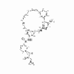 C=CC(=O)Nc1cccc(C(=O)Nc2cc3cc(c2)Nc2ncc(C(F)(F)F)c(n2)-c2cccc(c2)OCC/C=C/COC3)c1